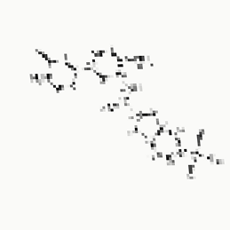 C=C/C=C(\C=C/N)c1ccc(N)c(NC(=O)N2Cc3ccc(C(F)(F)F)cc3C2)c1